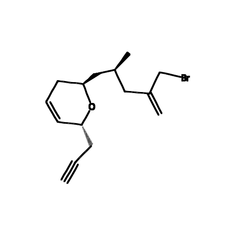 C#CC[C@@H]1C=CC[C@@H](C[C@@H](C)CC(=C)CBr)O1